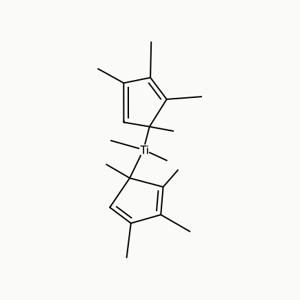 CC1=C[C](C)([Ti]([CH3])([CH3])[C]2(C)C=C(C)C(C)=C2C)C(C)=C1C